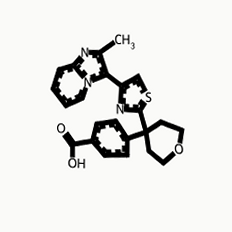 Cc1nc2ccccn2c1-c1csc(C2(c3ccc(C(=O)O)cc3)CCOCC2)n1